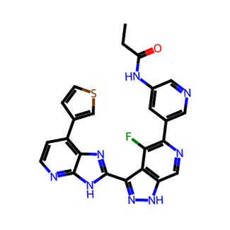 CCC(=O)Nc1cncc(-c2ncc3[nH]nc(-c4nc5c(-c6ccsc6)ccnc5[nH]4)c3c2F)c1